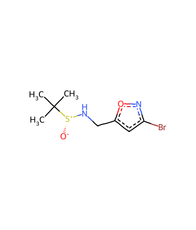 CC(C)(C)[S@@+]([O-])NCc1cc(Br)no1